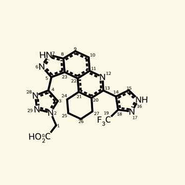 O=C(O)Cn1cc(-c2n[nH]c3ccc4nc(-c5c[nH]nc5C(F)(F)F)c5c(c4c23)CCCC5)nn1